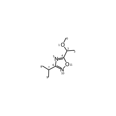 COC(C)c1nc(C(C)C)no1